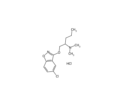 CCCC(COc1noc2ccc(Cl)cc12)N(C)C.Cl